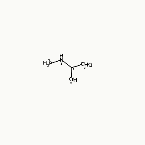 O=CC(O)NP